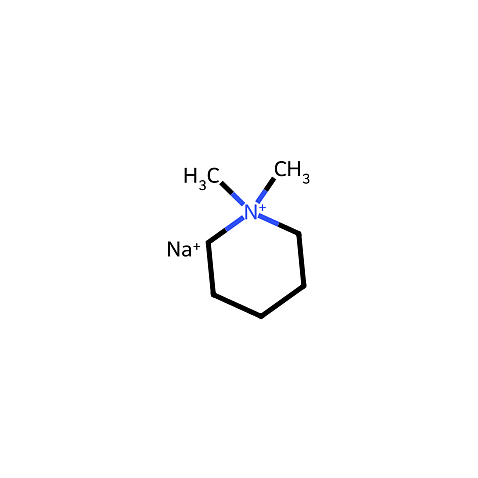 C[N+]1(C)CCCCC1.[Na+]